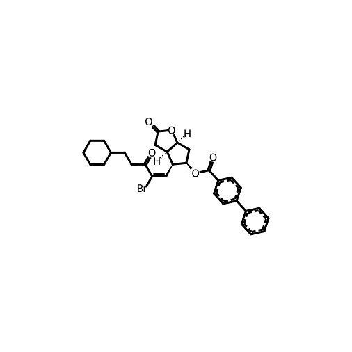 O=C1C[C@@H]2[C@H](/C=C(/Br)C(=O)CCC3CCCCC3)[C@H](OC(=O)c3ccc(-c4ccccc4)cc3)C[C@@H]2O1